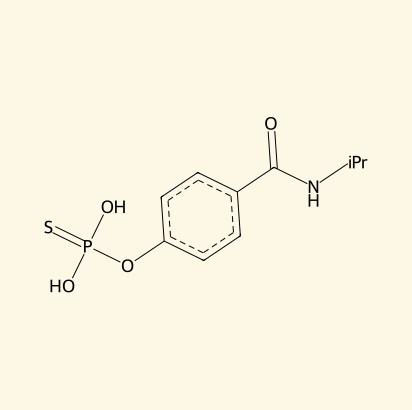 CC(C)NC(=O)c1ccc(OP(O)(O)=S)cc1